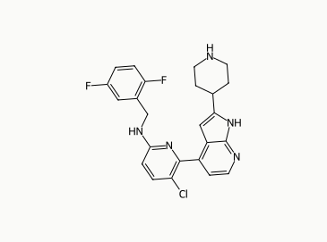 Fc1ccc(F)c(CNc2ccc(Cl)c(-c3ccnc4[nH]c(C5CCNCC5)cc34)n2)c1